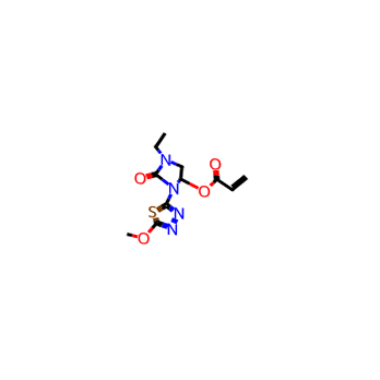 C=CC(=O)OC1CN(CC)C(=O)N1c1nnc(OC)s1